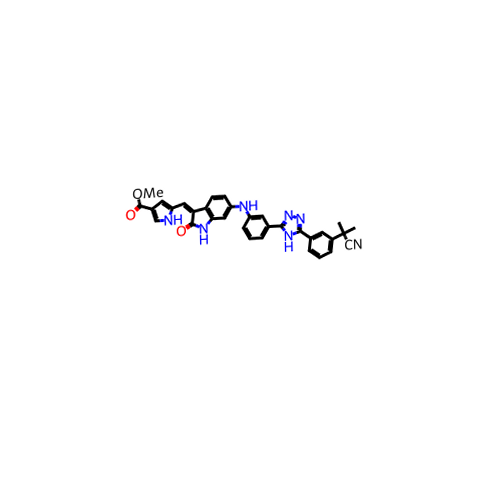 COC(=O)c1c[nH]c(/C=C2\C(=O)Nc3cc(Nc4cccc(-c5nnc(-c6cccc(C(C)(C)C#N)c6)[nH]5)c4)ccc32)c1